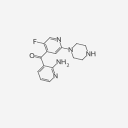 Nc1ncccc1C(=O)c1cc(N2CCNCC2)ncc1F